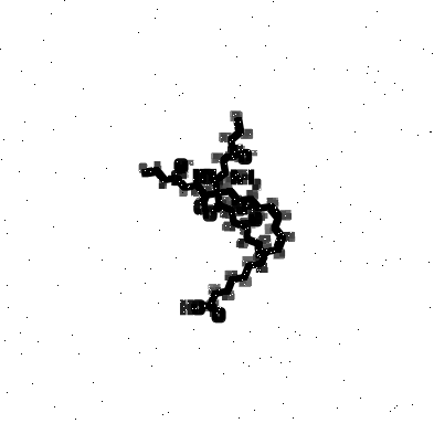 C=CC[S+]([O-])C[C@H](N)C(=O)C(CCCC/C=C\C/C=C\CCCCCCCC(=O)O)(C(=O)[C@@H](N)C[S+]([O-])CC=C)C(=O)[C@@H](N)C[S+]([O-])CC=C